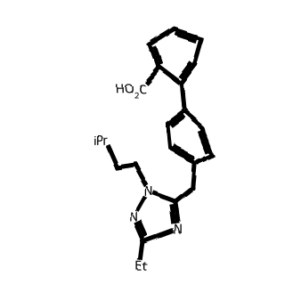 CCc1nc(Cc2ccc(-c3ccccc3C(=O)O)cc2)n(CCC(C)C)n1